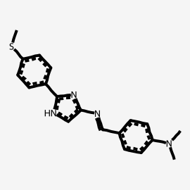 CSc1ccc(-c2nc(N=Cc3ccc(N(C)C)cc3)c[nH]2)cc1